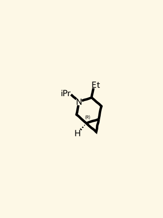 CCC1CC2C[C@H]2CN1C(C)C